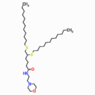 CCCCCCCCCCCCSCC(CCCC(=O)NCCN1CCOCC1)SCCCCCCCCCCCC